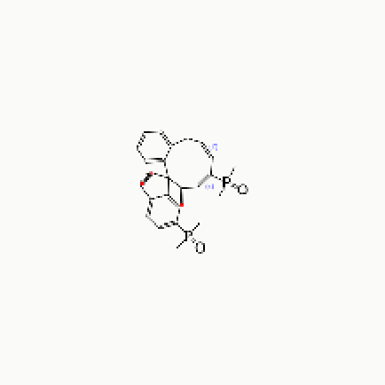 C=C1/C=C(P(C)(C)=O)\C=C/Cc2ccccc2C12c1ccccc1-c1ccc(P(C)(C)=O)cc12